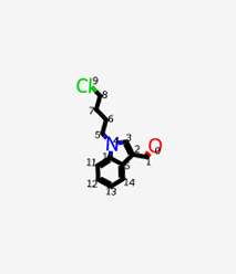 O=Cc1cn(CCCCCl)c2ccccc12